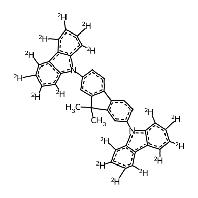 [2H]c1c([2H])c([2H])c2c(c1[2H])c1c([2H])c([2H])c([2H])c([2H])c1n2-c1ccc2c(c1)C(C)(C)c1cc(-n3c4c([2H])c([2H])c([2H])c([2H])c4c4c([2H])c([2H])c([2H])c([2H])c43)ccc1-2